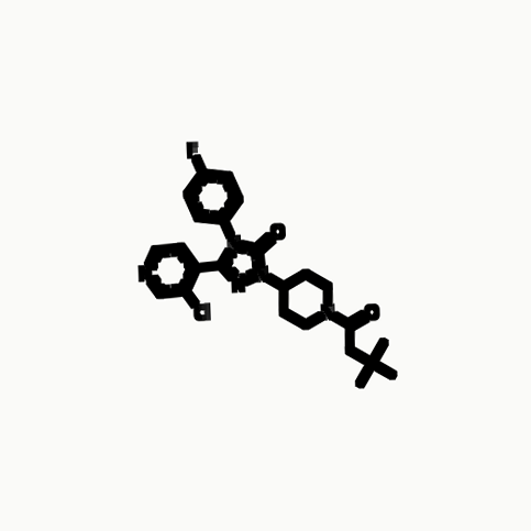 CC(C)(C)CC(=O)N1CCC(n2nc(-c3ccncc3Cl)n(-c3ccc(F)cc3)c2=O)CC1